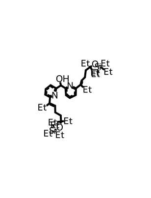 CCC(=CCCC(CC)(CC)O[Si](CC)(CC)CC)c1cccc(C(O)c2cccc(C(=CCCC(CC)(CC)O[Si](CC)(CC)CC)CC)n2)n1